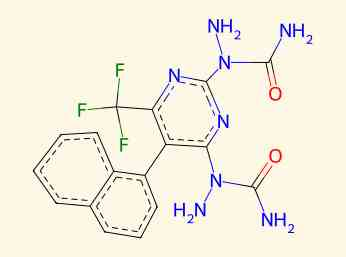 NC(=O)N(N)c1nc(N(N)C(N)=O)c(-c2cccc3ccccc23)c(C(F)(F)F)n1